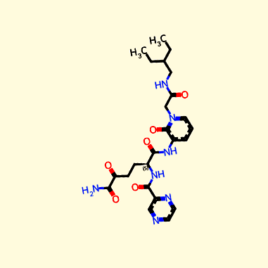 CCC(CC)CNC(=O)Cn1cccc(NC(=O)[C@H](CCC(=O)C(N)=O)NC(=O)c2cnccn2)c1=O